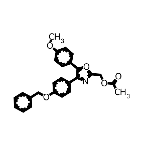 COc1ccc(-c2oc(COC(C)=O)nc2-c2ccc(OCc3ccccc3)cc2)cc1